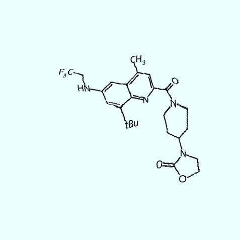 Cc1cc(C(=O)N2CCC(N3CCOC3=O)CC2)nc2c(C(C)(C)C)cc(NCC(F)(F)F)cc12